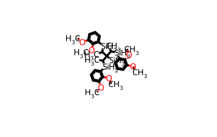 COc1cccc([SiH2]C(C)C([SiH3])(C(C)[SiH2]c2cccc(OC)c2OC)C(C)[SiH2]c2cccc(OC)c2OC)c1OC